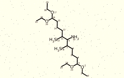 CCOC(CCCC([SiH3])C(N)C([SiH3])CCCC(OCC)OCC)OCC